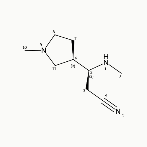 CN[C@@H](CC#N)[C@@H]1CCN(C)C1